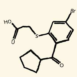 O=C(O)CSc1cc(Br)ccc1C(=O)C1CCCC1